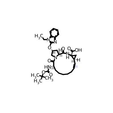 CCn1c(O[C@@H]2C[C@H]3C(=O)N[C@]4(C(=O)O)C[C@H]4/C=C\CCCCC[C@H](NC(=O)OC(C)(C)C)C(=O)N3C2)nc2ccccc21